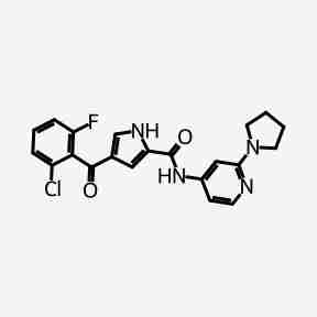 O=C(Nc1ccnc(N2CCCC2)c1)c1cc(C(=O)c2c(F)cccc2Cl)c[nH]1